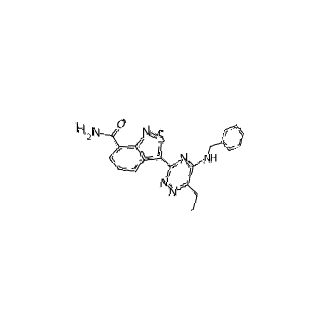 CCc1nnc(-c2snc3c(C(N)=O)cccc23)nc1NCc1ccccc1